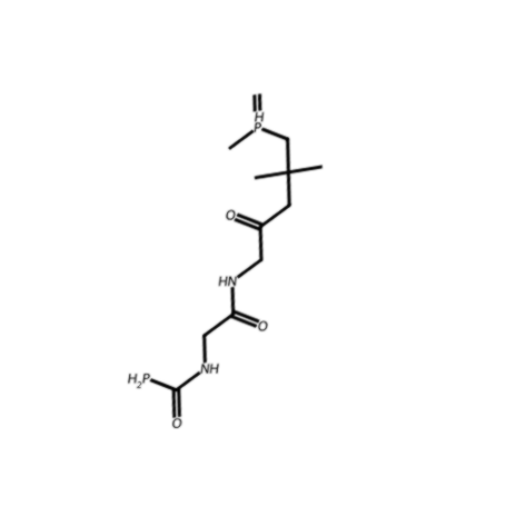 C=[PH](C)CC(C)(C)CC(=O)CNC(=O)CNC(=O)P